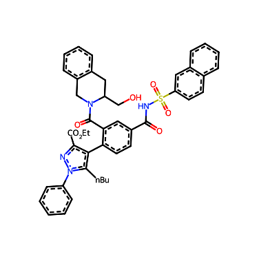 CCCCc1c(-c2ccc(C(=O)NS(=O)(=O)c3ccc4ccccc4c3)cc2C(=O)N2Cc3ccccc3CC2CO)c(C(=O)OCC)nn1-c1ccccc1